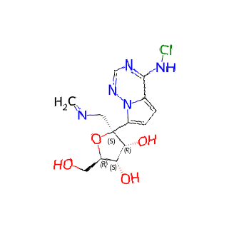 C=NC[C@@]1(c2ccc3c(NCl)ncnn23)O[C@H](CO)[C@@H](O)[C@H]1O